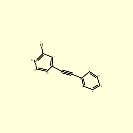 Clc1cc(C#Cc2ccccc2)ccn1